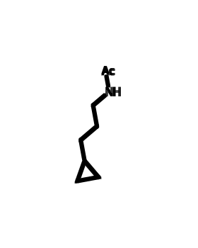 CC(=O)NCCCC1CC1